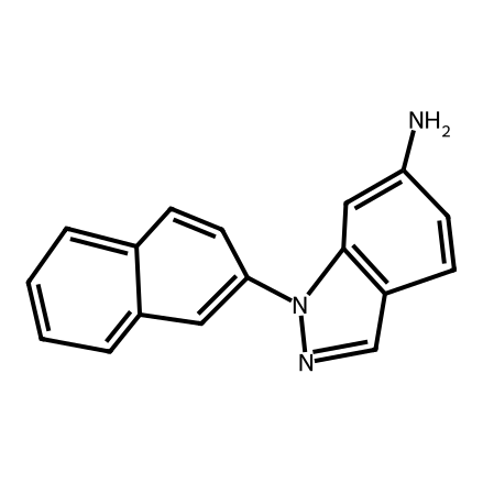 Nc1ccc2cnn(-c3ccc4ccccc4c3)c2c1